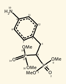 COP(=O)(OC)C(Cc1ccc(N)cc1)P(=O)(OC)OC